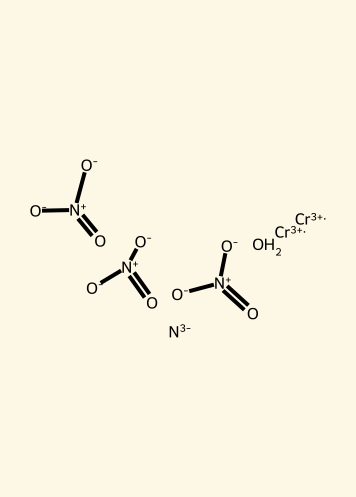 O.O=[N+]([O-])[O-].O=[N+]([O-])[O-].O=[N+]([O-])[O-].[Cr+3].[Cr+3].[N-3]